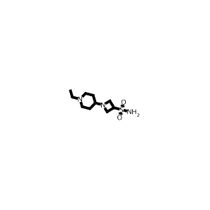 CCN1CCC(N2CC(S(N)(=O)=O)C2)CC1